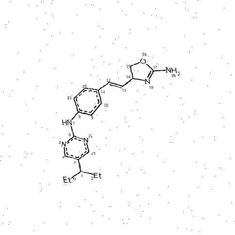 CCC(CC)c1cnc(Nc2ccc(C=CC3COC(N)=N3)cc2)nc1